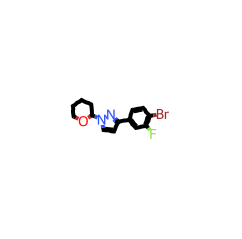 Fc1cc(-c2ccn(C3CCCCO3)n2)ccc1Br